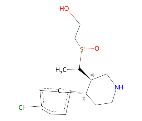 CC([C@H]1CNCC[C@@H]1c1ccc(Cl)cc1)[S+]([O-])CCO